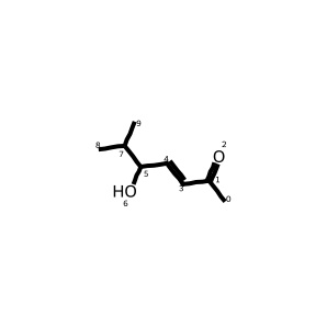 CC(=O)/C=C/C(O)C(C)C